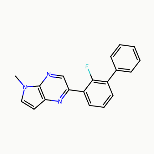 Cn1ccc2nc(-c3cccc(-c4ccccc4)c3F)cnc21